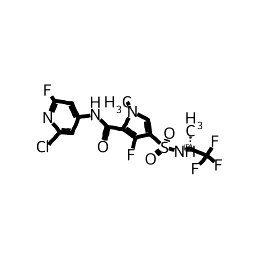 C[C@@H](NS(=O)(=O)c1cn(C)c(C(=O)Nc2cc(F)nc(Cl)c2)c1F)C(F)(F)F